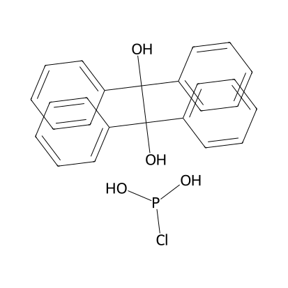 OC(c1ccccc1)(c1ccccc1)C(O)(c1ccccc1)c1ccccc1.OP(O)Cl